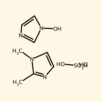 Cc1nccn1C.Cl.O=S(=O)(O)O.On1ccnc1